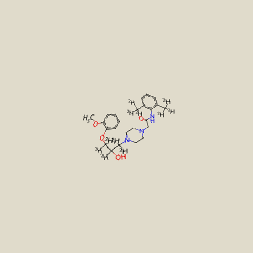 [2H]C([2H])([2H])c1cccc(C([2H])([2H])[2H])c1NC(=O)CN1CCN(C([2H])([2H])C([2H])(O)C([2H])([2H])Oc2ccccc2OC)CC1